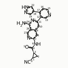 N#CC1C[C@@H]1C(=O)Nc1cc2cc(-c3cnccc3-c3cn[nH]c3)nc(N)c2cn1